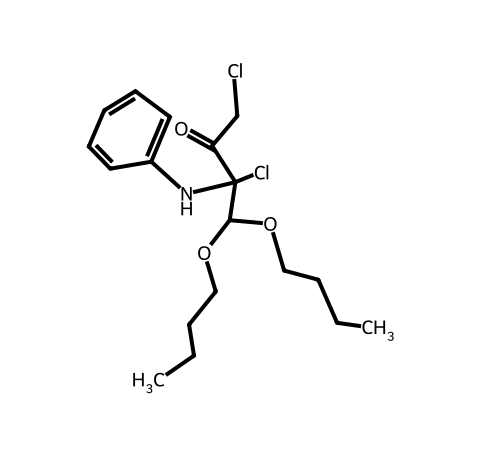 CCCCOC(OCCCC)C(Cl)(Nc1ccccc1)C(=O)CCl